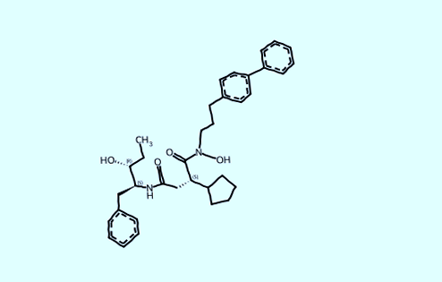 CC[C@@H](O)[C@H](Cc1ccccc1)NC(=O)C[C@H](C(=O)N(O)CCCc1ccc(-c2ccccc2)cc1)C1CCCC1